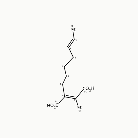 CCC=CCCCCC(C(=O)O)=C(CC)C(=O)O